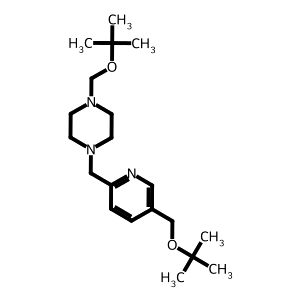 CC(C)(C)OCc1ccc(CN2CCN(COC(C)(C)C)CC2)nc1